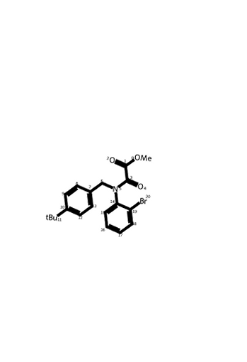 COC(=O)C(=O)N(Cc1ccc(C(C)(C)C)cc1)c1ccccc1Br